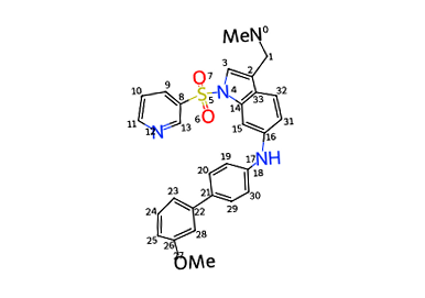 CNCc1cn(S(=O)(=O)c2cccnc2)c2cc(Nc3ccc(-c4cccc(OC)c4)cc3)ccc12